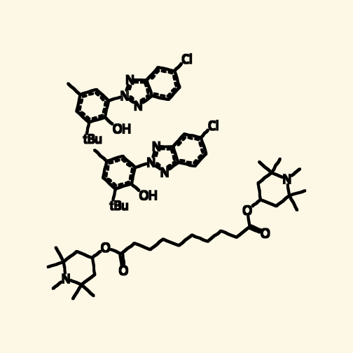 CN1C(C)(C)CC(OC(=O)CCCCCCCCC(=O)OC2CC(C)(C)N(C)C(C)(C)C2)CC1(C)C.Cc1cc(-n2nc3ccc(Cl)cc3n2)c(O)c(C(C)(C)C)c1.Cc1cc(-n2nc3ccc(Cl)cc3n2)c(O)c(C(C)(C)C)c1